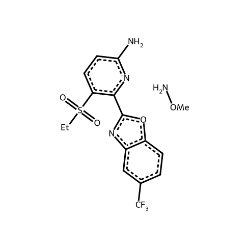 CCS(=O)(=O)c1ccc(N)nc1-c1nc2cc(C(F)(F)F)ccc2o1.CON